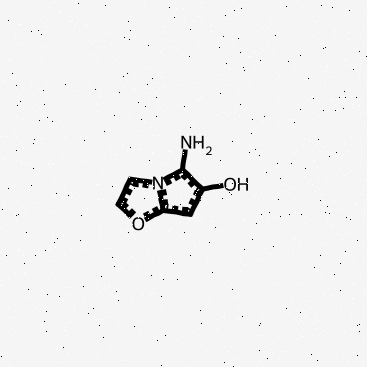 Nc1c(O)cc2occn12